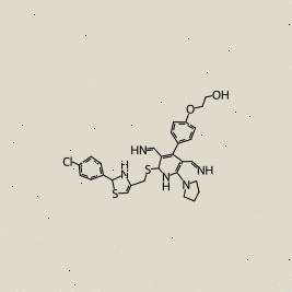 N=CC1=C(N2CCCC2)NC(SCC2=CSC(c3ccc(Cl)cc3)N2)C(C=N)=C1c1ccc(OCCO)cc1